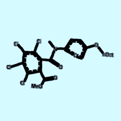 CCCCCCCCOc1ccc(N(C)C(=O)c2c(Cl)c(Cl)c(Cl)c(Cl)c2C(=O)OC)cc1